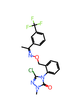 CC(=NOCc1ccccc1-n1c(Cl)nn(C)c1=O)c1cccc(C(F)(F)F)c1